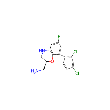 NC[C@H]1CNc2cc(F)cc(-c3ccc(Cl)cc3Cl)c2O1